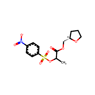 CC(OS(=O)(=O)c1ccc([N+](=O)[O-])cc1)C(=O)OC[C@@H]1CCCO1